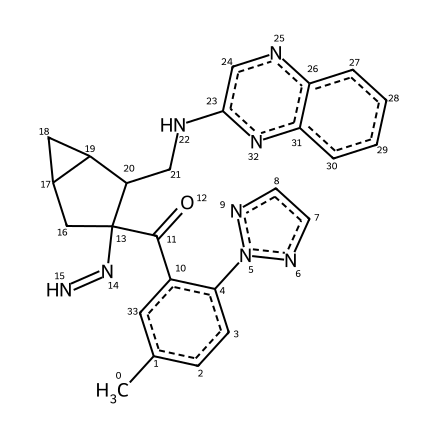 Cc1ccc(-n2nccn2)c(C(=O)C2(N=N)CC3CC3C2CNc2cnc3ccccc3n2)c1